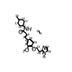 CC.COc1cc(C=CC(=O)NC2CCC(C)CC2)ccc1OCCc1nccn1C